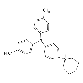 Cc1ccc(N(c2ccc(C)cc2)c2ccc([SH]3CCCCC3)cc2)cc1